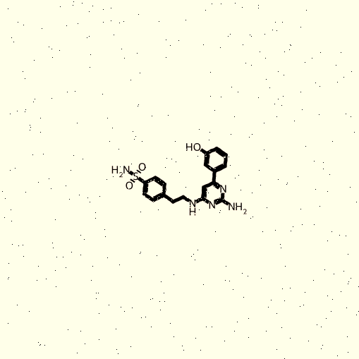 Nc1nc(NCCc2ccc(S(N)(=O)=O)cc2)cc(-c2cccc(O)c2)n1